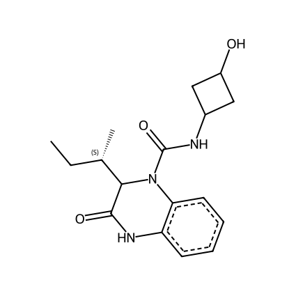 CC[C@H](C)C1C(=O)Nc2ccccc2N1C(=O)NC1CC(O)C1